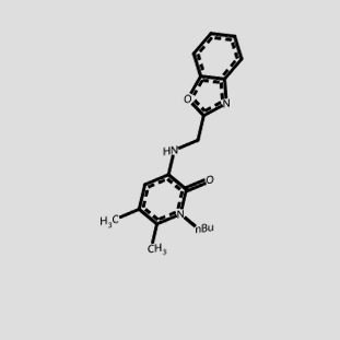 CCCCn1c(C)c(C)cc(NCc2nc3ccccc3o2)c1=O